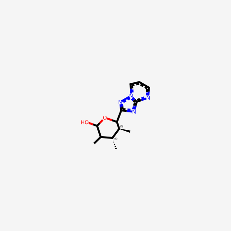 CC1C(O)OC(c2nc3ncccn3n2)[C@@H](C)[C@@H]1C